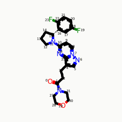 O=C(CCc1cnn2ccc(N3CCC[C@@H]3c3cc(F)ccc3F)nc12)N1CCOCC1